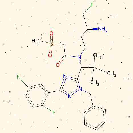 CC(C)(C)[C@H](c1nc(-c2cc(F)ccc2F)nn1Cc1ccccc1)N(CC[C@H](N)CF)C(=O)CS(C)(=O)=O